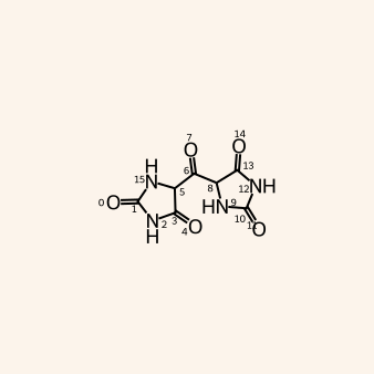 O=C1NC(=O)C(C(=O)C2NC(=O)NC2=O)N1